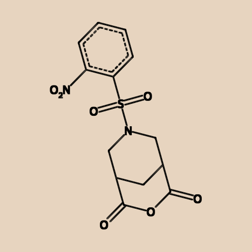 O=C1OC(=O)C2CC1CN(S(=O)(=O)c1ccccc1[N+](=O)[O-])C2